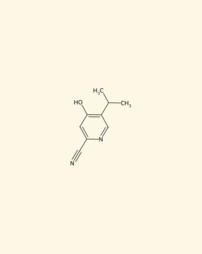 CC(C)c1cnc(C#N)cc1O